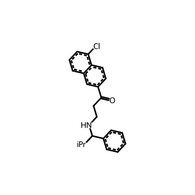 CC(C)C(NCCC(=O)c1ccc2c(Cl)cccc2c1)c1ccccc1